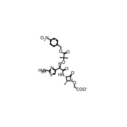 C[C@H]1[C@H](NC(=O)/C(=N\OC(C)(C)C(=O)OCc2ccc([N+](=O)[O-])cc2)c2csc(N)n2)C(=O)N1OCC(=O)[O-].[Na+]